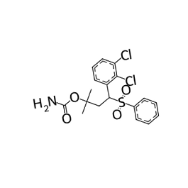 CC(C)(CC(c1cccc(Cl)c1Cl)S(=O)(=O)c1ccccc1)OC(N)=O